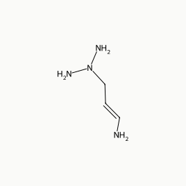 NC=CCN(N)N